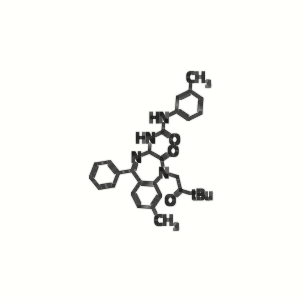 Cc1cccc(NC(=O)NC2N=C(c3ccccc3)c3ccc(C)cc3N(CC(=O)C(C)(C)C)C2=O)c1